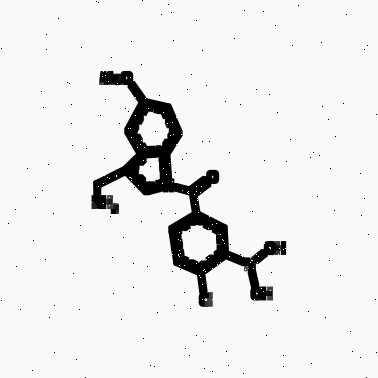 COc1ccc2c(c1)c(CN)cn2C(=O)c1ccc(Cl)c(N(O)O)c1